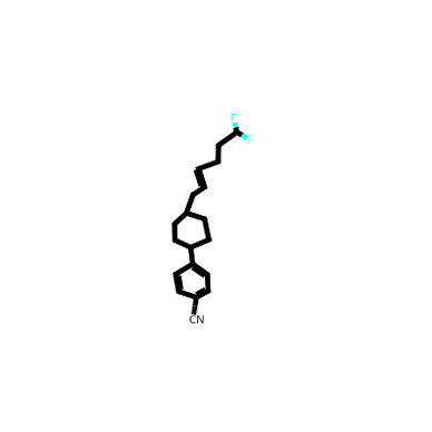 N#Cc1ccc(C2CCC(CC=CCCC(F)F)CC2)cc1